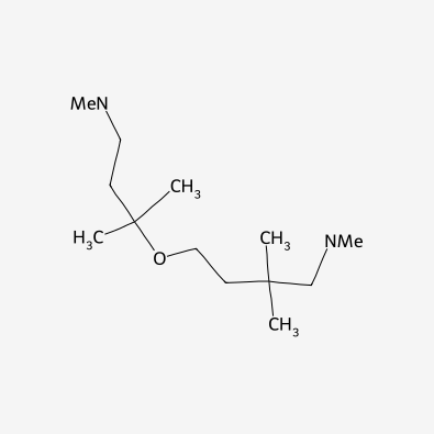 CNCCC(C)(C)OCCC(C)(C)CNC